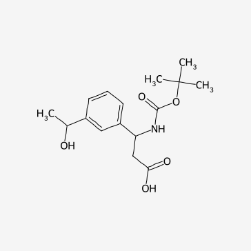 CC(O)c1cccc(C(CC(=O)O)NC(=O)OC(C)(C)C)c1